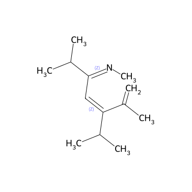 C=C(C)/C(=C\C(=N/C)C(C)C)C(C)C